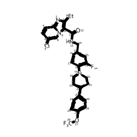 CCc1nc2ccc(Cl)cn2c1C(=O)NCc1ccc(N2CCC(c3ccc(OC(F)(F)F)cc3)CC2)c(F)c1